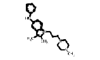 Cc1c(C)n(CCCN2CCN(C)CC2)c2ccc(Nc3c[c]ccc3)cc12